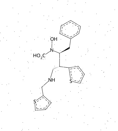 O=C(O)N(O)[C@@H](Cc1ccccc1)[C@@H](CNCc1cccs1)c1cccs1